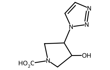 O=C(O)N1CC(O)C(n2ccnn2)C1